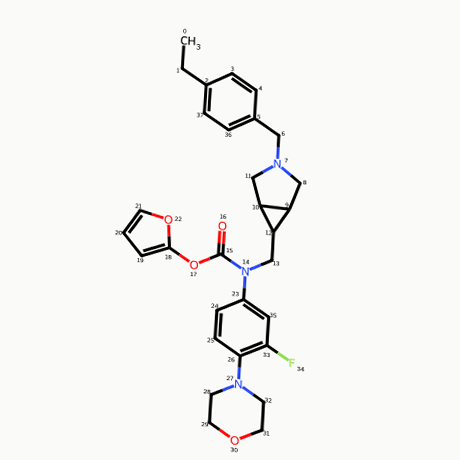 CCc1ccc(CN2CC3C(C2)C3CN(C(=O)Oc2ccco2)c2ccc(N3CCOCC3)c(F)c2)cc1